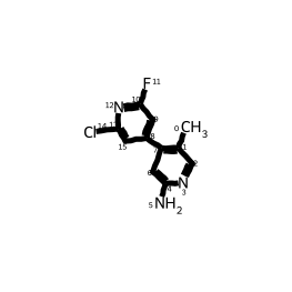 Cc1cnc(N)cc1-c1cc(F)nc(Cl)c1